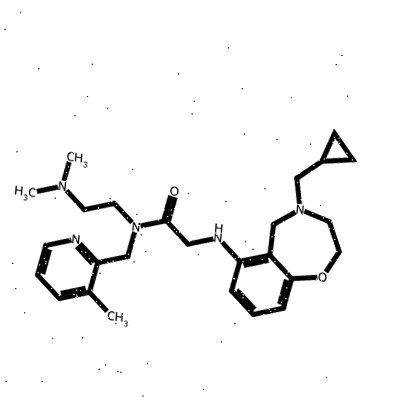 Cc1cccnc1CN(CCN(C)C)C(=O)CNc1cccc2c1CN(CC1CC1)CCO2